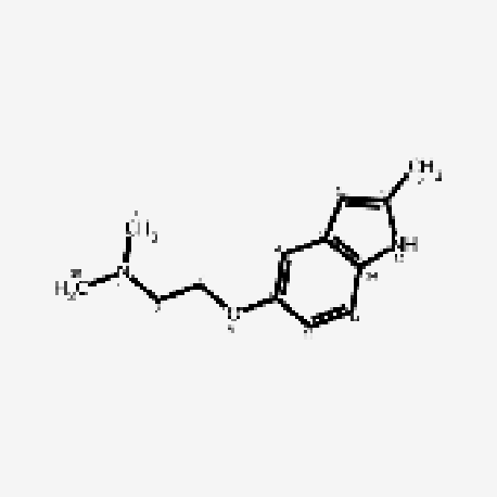 Cc1cc2cc(OCCN(C)C)ccc2[nH]1